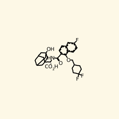 O=C(N[C@H](C(=O)O)C12CC3CC(CC(O)(C3)C1)C2)c1ccc2cc(F)ccc2c1OCC1CCC(F)(F)CC1